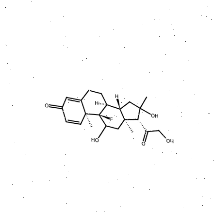 CC1(O)C[C@H]2[C@@H]3CCC4=CC(=O)C=C[C@]4(C)[C@@]3(F)C(O)C[C@]2(C)[C@H]1C(=O)CO